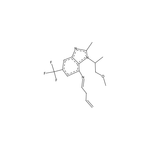 C=CCC=Nc1cc(C(F)(F)F)cc2nc(C)n(C(C)COC)c12